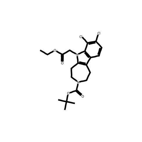 CCOC(=O)Cn1c2c(c3ccc(Cl)c(Cl)c31)CCN(C(=O)OC(C)(C)C)CC2